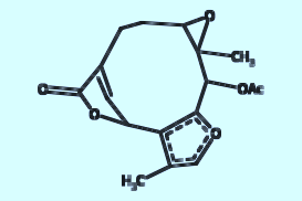 CC(=O)OC1c2occ(C)c2C2C=C(CCC3OC31C)C(=O)O2